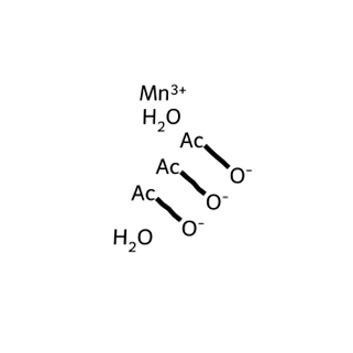 CC(=O)[O-].CC(=O)[O-].CC(=O)[O-].O.O.[Mn+3]